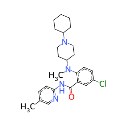 Cc1ccc(NC(=O)c2cc(Cl)ccc2N(C)C2CCN(C3CCCCC3)CC2)nc1